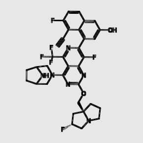 C#Cc1c(F)ccc2cc(O)cc(-c3nc(C(F)(F)F)c4c(N5CC6CCC(C5)N6)nc(OC[C@@]56CCCN5C[C@H](F)C6)nc4c3F)c12